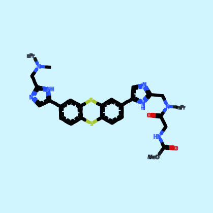 CCCN(C)Cc1ncc(-c2ccc3c(c2)Sc2cc(-c4cnc(CN(CCC)C(=O)CNC(=O)OC)[nH]4)ccc2S3)[nH]1